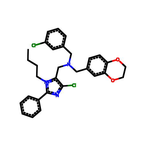 CCCCn1c(-c2ccccc2)nc(Cl)c1CN(Cc1cccc(Cl)c1)Cc1ccc2c(c1)OCCO2